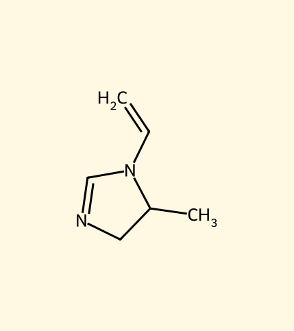 C=CN1C=NCC1C